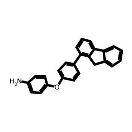 Nc1ccc(Oc2ccc(-c3cccc4c3Cc3ccccc3-4)cc2)cc1